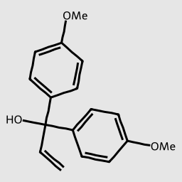 C=CC(O)(c1ccc(OC)cc1)c1ccc(OC)cc1